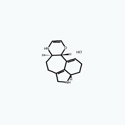 C1=CO[C@@H]2C3=CCC[C@@H]4NCC(=C34)CC[C@H]2N1.Cl